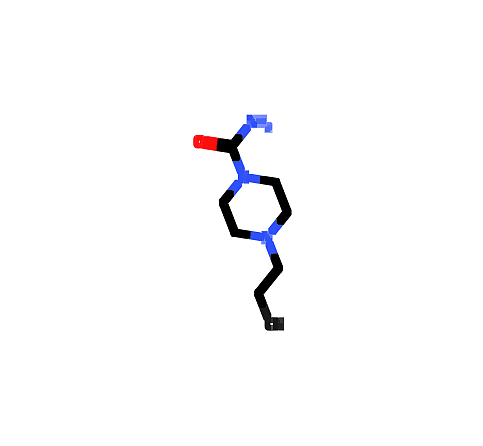 N#CCCN1CCN(C(N)=O)CC1